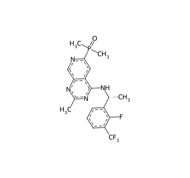 Cc1nc(N[C@H](C)c2cccc(C(F)(F)F)c2F)c2cc(P(C)(C)=O)ncc2n1